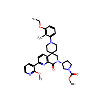 CCOc1ncccc1-c1ccc2c(n1)C(=O)N([C@H]1CCN(C(=O)OC(C)(C)C)C1)CC21CCN(c2cccc(OCC#N)c2C(F)(F)F)CC1